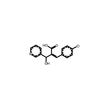 O=C(O)C(=Cc1ccc(Cl)cc1)C(O)c1cccnc1